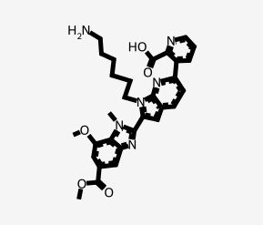 COC(=O)c1cc(OC)c2c(c1)nc(-c1cc3ccc(-c4cccnc4C(=O)O)nc3n1CCCCCCN)n2C